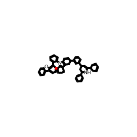 C1=CCC(C2=CC(c3cccc(C4C=Cc5c(c6c(n5-c5ccccc5-c5cccc7c5oc5ccccc57)C=CCC6)C4)c3)CC(c3ccccc3)N2)C=C1